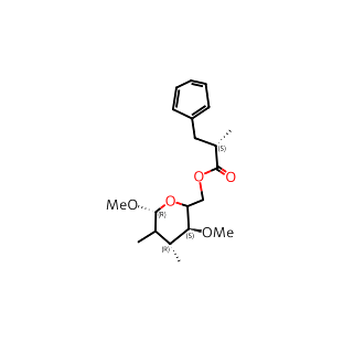 CO[C@@H]1OC(COC(=O)[C@@H](C)Cc2ccccc2)[C@@H](OC)[C@H](C)C1C